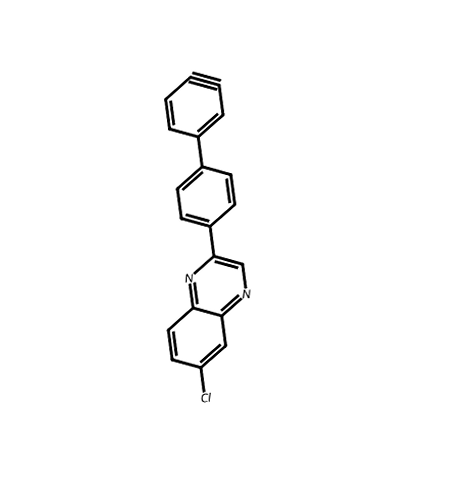 Clc1ccc2nc(-c3ccc(-c4cc#ccc4)cc3)cnc2c1